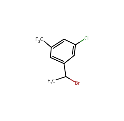 FC(F)(F)c1cc(Cl)cc(C(Br)C(F)(F)F)c1